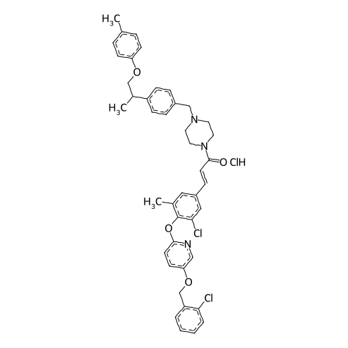 Cc1ccc(OCC(C)c2ccc(CN3CCN(C(=O)C=Cc4cc(C)c(Oc5ccc(OCc6ccccc6Cl)cn5)c(Cl)c4)CC3)cc2)cc1.Cl